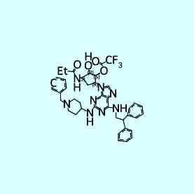 CCC(=O)N[C@H]1C[C@@H](n2cnc3c(NCC(c4ccccc4)c4ccccc4)nc(NC4CCN(Cc5ccccc5)CC4)nc32)[C@H](OC(=O)C(F)(F)F)[C@@H]1O